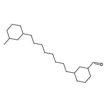 CC1CCCC(CCCCCCCCC2CCCC(C=O)C2)C1